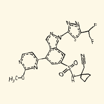 COc1nccc(-c2cc(S(=O)(=O)NC3(C#N)CC3)cc3c2cnn3-c2nnc(C(F)F)s2)n1